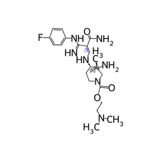 CN(C)CCOC(=O)N1CC[C@@H](N/C=C(\C(=N)Nc2ccc(F)cc2)C(N)=O)[C@](C)(N)C1